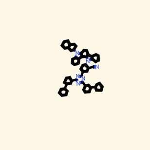 N#Cc1cc(-c2nc(-c3cccc(-c4ccccc4)c3)nc(-c3cccc(-c4ccccc4)c3)n2)ccc1-n1c2ccccc2c2ccc3c(c4ccccc4n3-c3ccc4ccccc4c3)c21